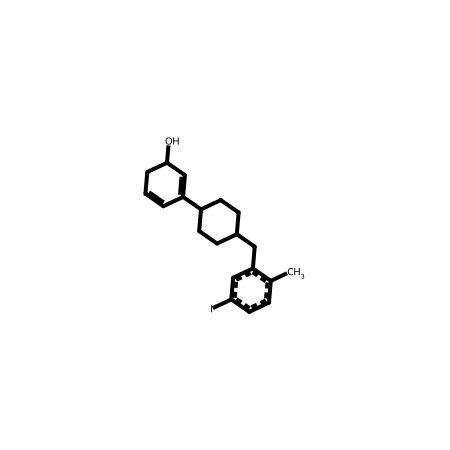 Cc1ccc(I)cc1CC1CCC(C2=CC(O)CC=C2)CC1